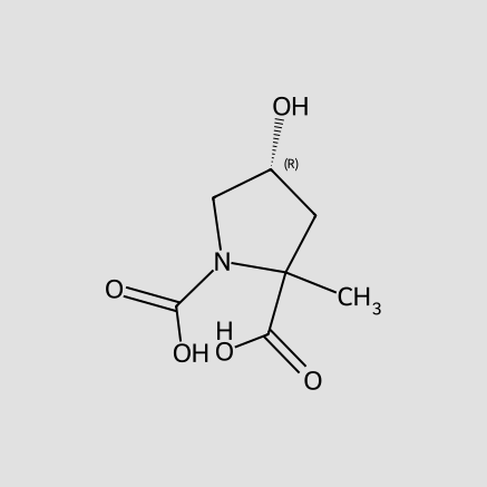 CC1(C(=O)O)C[C@@H](O)CN1C(=O)O